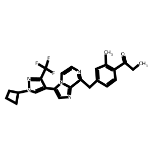 CCC(=O)c1ccc(Cc2nccn3c(-c4cn(C5CCC5)nc4C(F)(F)F)cnc23)cc1C